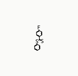 Fc1ccc(C(=S)Sc2ccccc2)cc1